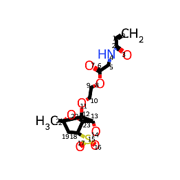 C=CC(=O)NCC(=O)OCCOC1C2OS(=O)(=O)C3CC1(C)OC23